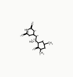 CC1CC(C)C(=O)C([C@H](O)CC2CC(=O)NC(=O)C2)C1